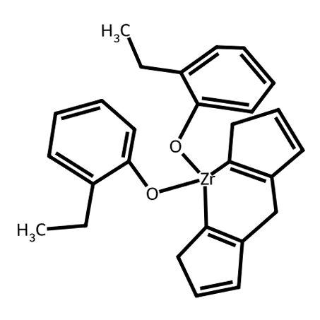 CCc1ccccc1[O][Zr]1([O]c2ccccc2CC)[C]2=C(C=CC2)CC2=[C]1CC=C2